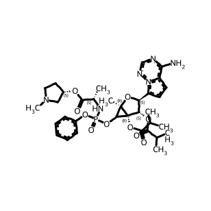 CC(C)C(=O)O[C@H]1[C@H](c2ccc3c(N)ncnn23)O[C@]2(C)C(OP(=O)(N[C@@H](C)C(=O)O[C@H]3CCN(C)C3)Oc3ccccc3)[C@]12OC(=O)C(C)C